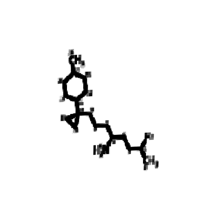 CC(F)CC[C@@H](N)CCCC1(C2CCC(C)CC2)CC1